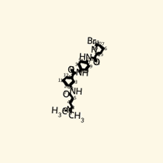 CN(C)C/C=C/C(=O)Nc1cccc(C(=O)Nc2ccc(NC(=O)c3cccc(Br)n3)cc2)c1